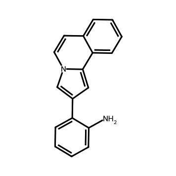 Nc1ccccc1-c1cc2c3ccccc3ccn2c1